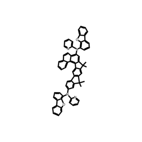 CC1(C)c2cc(N(c3ccccn3)c3cccc4c3oc3ccccc34)ccc2-c2cc3c(cc21)C(C)(C)c1cc(N(c2ccccn2)c2cccc4c2oc2ccccc24)c2ccc4ccccc4c2c1-3